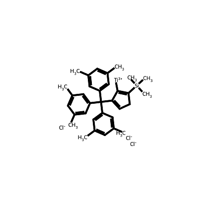 Cc1cc(C)cc(C(C2=CCC([Si](C)(C)C)=[C]2[Ti+3])(c2cc(C)cc(C)c2)c2cc(C)cc(C)c2)c1.[Cl-].[Cl-].[Cl-]